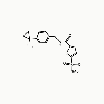 CNS(=O)(=O)c1ccc(C(=O)NCc2ccc(C3(C(F)(F)F)CC3)cc2)s1